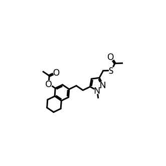 CC(=O)Oc1cc(CCc2cc(CSC(C)=O)nn2C)cc2c1CCCC2